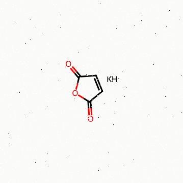 O=C1C=CC(=O)O1.[KH]